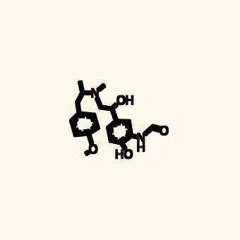 COc1ccc(CC(C)N(C)CC(O)c2ccc(O)c(NC=O)c2)cc1